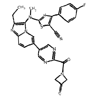 CCc1nc2ccc(-c3cnc(C(=O)N4CC(=O)C4)nc3)cn2c1N(C)c1nc(-c2ccc(F)cc2)c(C#N)s1